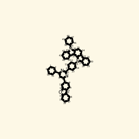 c1ccc(-c2cc(-c3ccc4c(c3)oc3ccccc34)nc(-c3ccc(-n4c5ccccc5c5ccc6c(c7ccccc7n6-c6ccccc6)c54)cc3)n2)cc1